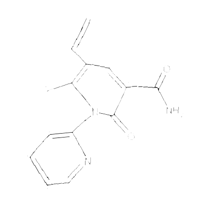 C=Cc1cc(C(N)=O)c(=O)n(-c2ccccn2)c1C